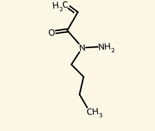 C=CC(=O)N(N)CCCC